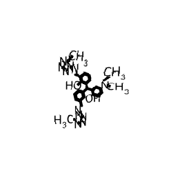 CCCN(C)c1cccc(C(c2cccc(C=Nn3nnnc3C)c2O)c2cccc(C=Nn3nnnc3C)c2O)c1